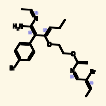 C=C(/N=C\C(Br)=C/C)OCCOC(=C\CC)/C(=C(N)\N=C/C)c1ccc(Br)cc1